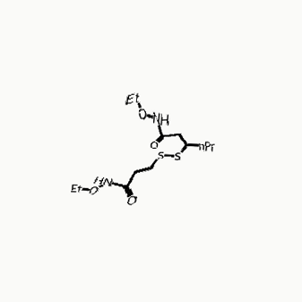 CCCC(CC(=O)NOCC)SSCCC(=O)NOCC